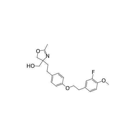 COc1ccc(CCOc2ccc(CCC3(CO)COC(C)=N3)cc2)cc1F